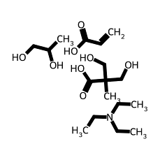 C=CC(=O)O.CC(CO)(CO)C(=O)O.CC(O)CO.CCN(CC)CC